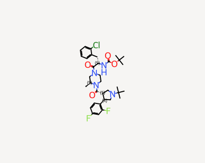 C[C@H]1CN(C(=O)[C@H](Cc2ccccc2Cl)NC(=O)OC(C)(C)C)CCN1C(=O)[C@@H]1CN(C(C)(C)C)C[C@H]1c1ccc(F)cc1F